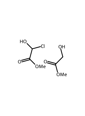 COC(=O)C(O)Cl.COC(=O)CO